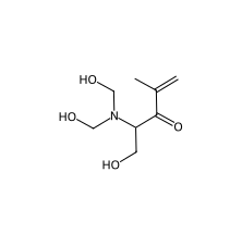 C=C(C)C(=O)C(CO)N(CO)CO